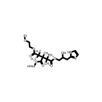 CCCCCCOC(=O)C(C)(C(C)(C)C(=O)OCCOCC)C(C)(C)C(=O)OCC(O)Cc1ncc[nH]1